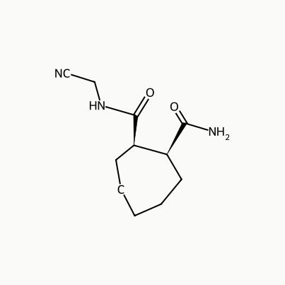 N#CCNC(=O)[C@@H]1CCCCC[C@@H]1C(N)=O